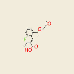 CCC(=Cc1c(F)cccc1[C@@H](C)OCC1CO1)C(=O)O